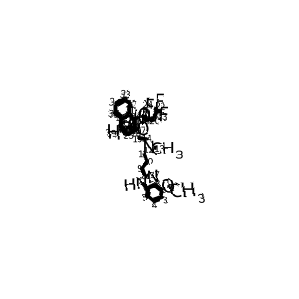 COc1cccc2[nH]c(CCCN(C)CC[C@]3(OC(=O)CC(F)(F)F)C[C@H]4CCC[C@@H]3c3ccccc34)nc12